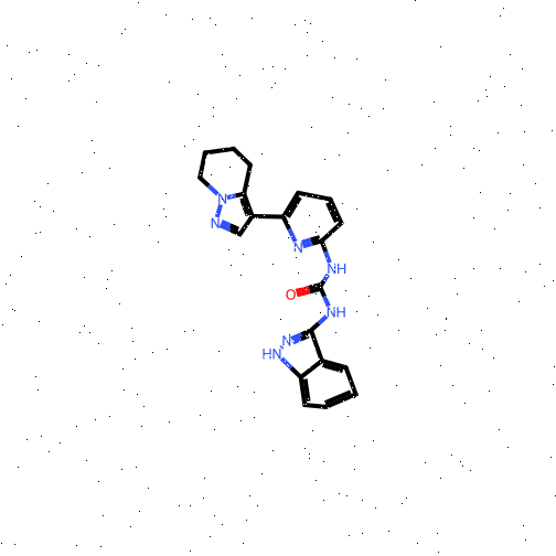 O=C(Nc1cccc(-c2cnn3c2CCCC3)n1)Nc1n[nH]c2ccccc12